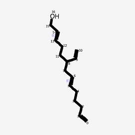 C=CCCC/C=C/CC(C=C)CC/C=C/CO